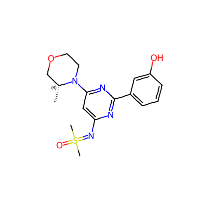 C[C@@H]1COCCN1c1cc(N=S(C)(C)=O)nc(-c2cccc(O)c2)n1